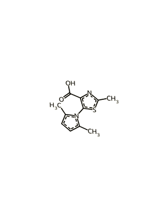 Cc1nc(C(=O)O)c(-n2c(C)ccc2C)s1